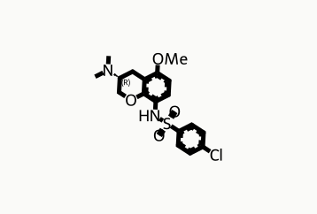 COc1ccc(NS(=O)(=O)c2ccc(Cl)cc2)c2c1C[C@@H](N(C)C)CO2